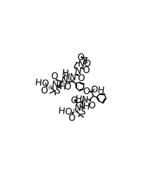 CC1(C)S[C@@H]2[C@H](NC(=O)C(C(=O)O)c3ccccc3)C(=O)N2[C@H]1C(=O)O.CC1(C)S[C@@H]2[C@H](NC(=O)[C@H](NC(=O)N3CCN(S(C)(=O)=O)C3=O)c3ccccc3)C(=O)N2[C@H]1C(=O)O